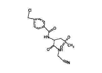 CS(=O)(=O)CC(NC(=O)c1ccc(CCl)cc1)C(=O)NCC#N